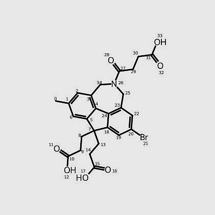 Cc1cc2c3c(c1)C(CCC(=O)O)(CCC(=O)O)c1cc(Br)cc(c1-3)CN(C(=O)CCC(=O)O)C2